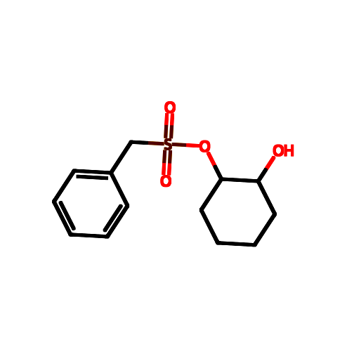 O=S(=O)(Cc1ccccc1)OC1CCCCC1O